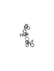 CN1CCN(c2ccc3[nH]c(C4CCC5(CC4)CN(c4ccccc4F)C(=O)O5)nc3c2)C1=O